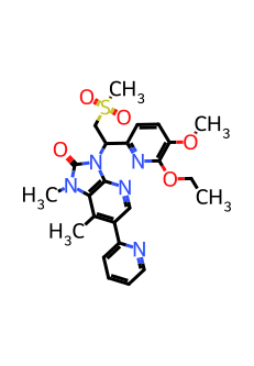 CCOc1nc(C(CS(C)(=O)=O)n2c(=O)n(C)c3c(C)c(-c4ccccn4)cnc32)ccc1OC